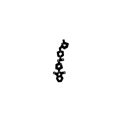 Cc1cccc(CN2CCN(C(=O)Oc3ccc(N4C(=O)C5CCCCC5C4=O)cn3)CC2)n1